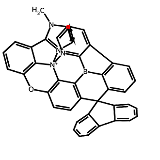 Cn1c2[n+](c3ccccc31)[N+]13c4c(cccc4-2)Oc2ccc4c(c21)B1c2c(cccc2C42c4ccccc4-c4ccccc42)-c2ccc[n+]3c21